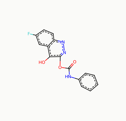 O=C(Nc1ccccc1)Oc1nnc2ccc(F)cc2c1O